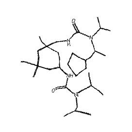 CC(C)N(C(=O)NC1CC(C)(C)CC(C)(CNC(=O)N(C(C)C)C(C)C2CCCC2)C1)C(C)C